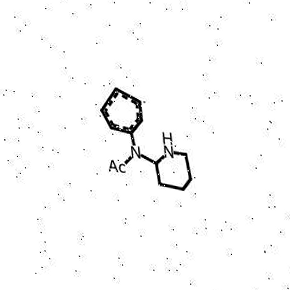 CC(=O)N(c1c[c]ccc1)C1CCCCN1